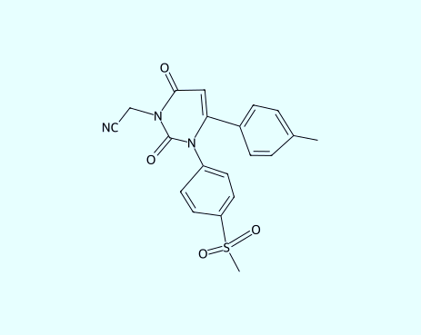 Cc1ccc(-c2cc(=O)n(CC#N)c(=O)n2-c2ccc(S(C)(=O)=O)cc2)cc1